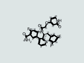 NC(=O)c1cc(-c2cccnc2[C@H](Cc2cc(F)cc(F)c2)NC(=O)COc2cc[nH]c(=O)c2)ccc1F